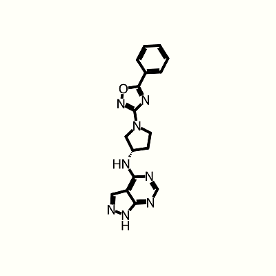 c1ccc(-c2nc(N3CC[C@H](Nc4ncnc5[nH]ncc45)C3)no2)cc1